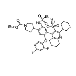 CCS(=O)(=O)Nc1cc(-c2c3c(nc(C4CCCCC4)c2S(N)(=O)=O)CCCC3)c(Oc2ccc(F)cc2F)cc1C1CCN(C(=O)OC(C)(C)C)CC1